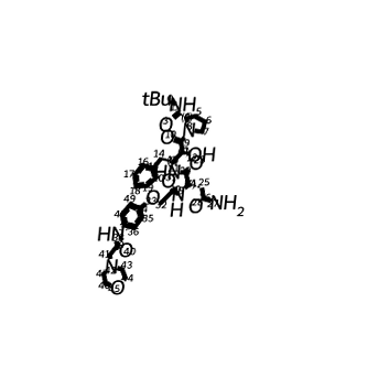 CC(C)(C)NC(=O)[C@@H]1CCCN1C(=O)[C@@H](O)[C@H](Cc1ccccc1)NC(=O)[C@H](CC(N)=O)NC(=O)COc1ccc(NC(=O)CN2CCOCC2)cc1